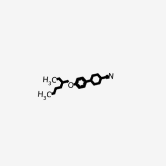 CCCCC(CC)COc1ccc(C2CCC(C#N)CC2)cc1